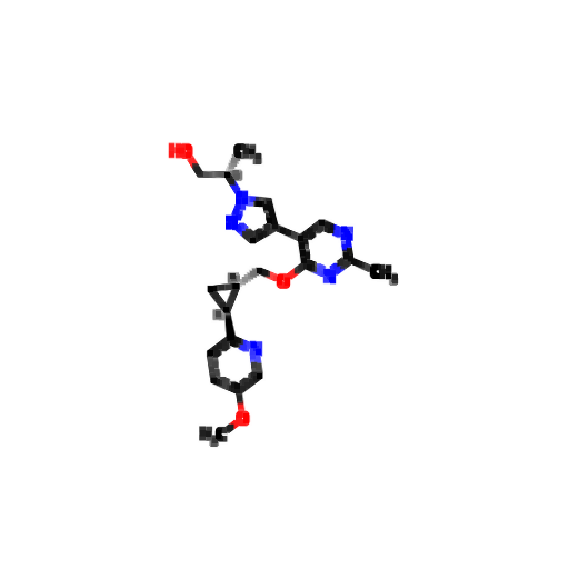 COc1ccc([C@H]2C[C@@H]2COc2nc(C)ncc2-c2cnn([C@@H](C)CO)c2)nc1